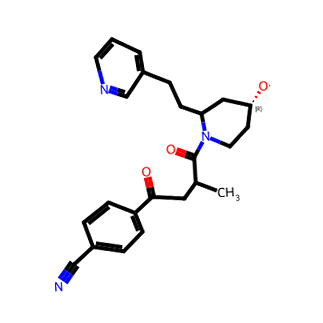 CC(CC(=O)c1ccc(C#N)cc1)C(=O)N1CC[C@@H]([O])CC1CCc1cccnc1